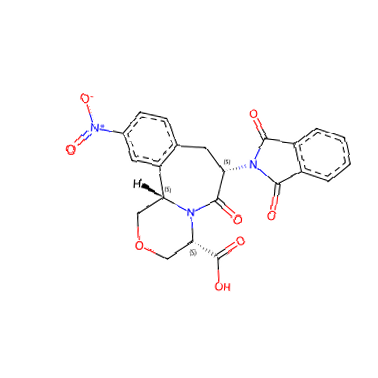 O=C(O)[C@@H]1COC[C@@H]2c3cc([N+](=O)[O-])ccc3C[C@H](N3C(=O)c4ccccc4C3=O)C(=O)N21